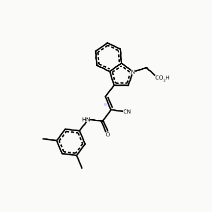 Cc1cc(C)cc(NC(=O)/C(C#N)=C/c2cn(CC(=O)O)c3ccccc23)c1